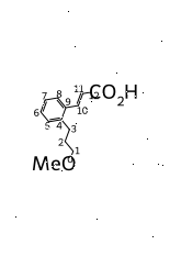 COCCCc1ccccc1/C=C/C(=O)O